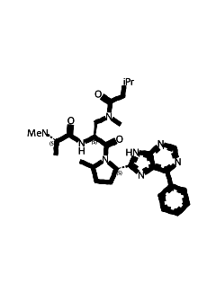 CN[C@@H](C)C(=O)N[C@@H](CN(C)C(=O)CC(C)C)C(=O)N1C(C)CC[C@H]1c1nc2c(-c3ccccc3)ncnc2[nH]1